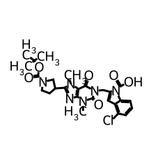 Cn1c(C2CCN(C(=O)OC(C)(C)C)C2)nc2c1c(=O)n(Cc1cc3c(Cl)cccc3n1C(=O)O)c(=O)n2C